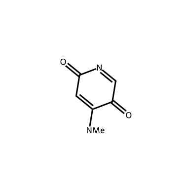 CNC1=CC(=O)N=CC1=O